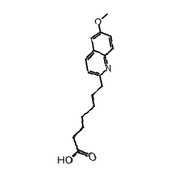 COc1ccc2nc(CCCCCCC(=O)O)ccc2c1